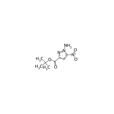 CC(C)(C)OC(=O)c1cc([N+](=O)[O-])n(N)n1